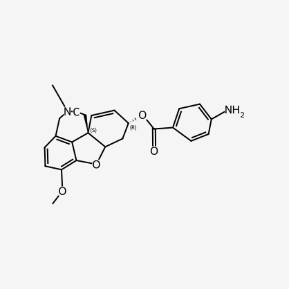 COc1ccc2c3c1OC1C[C@@H](OC(=O)c4ccc(N)cc4)C=C[C@@]31CCN(C)C2